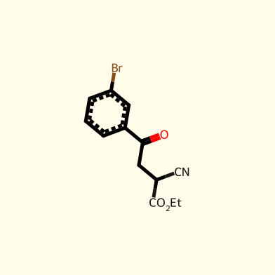 CCOC(=O)C(C#N)CC(=O)c1cccc(Br)c1